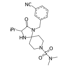 CC(C)C1NC2(CCN(S(=O)(=O)N(C)C)CC2)N(Cc2cccc(C#N)c2)C1=O